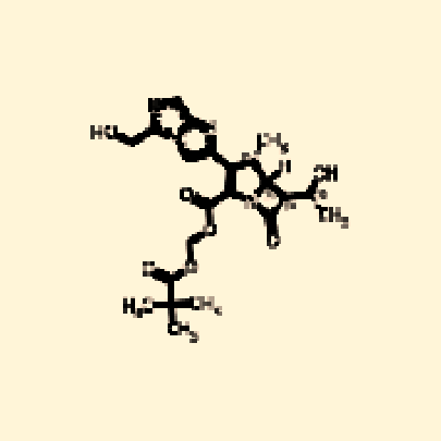 C[C@@H](O)[C@H]1C(=O)N2C(C(=O)OCOC(=O)C(C)(C)C)=C(c3cn4c(CO)ncc4s3)[C@H](C)[C@H]12